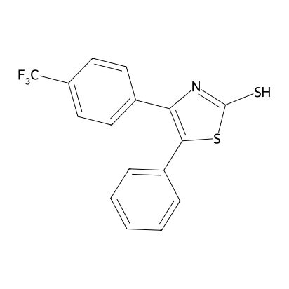 FC(F)(F)c1ccc(-c2nc(S)sc2-c2ccccc2)cc1